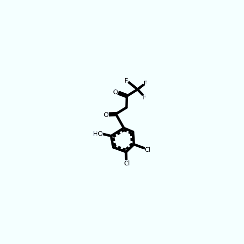 O=C(CC(=O)C(F)(F)F)c1cc(Cl)c(Cl)cc1O